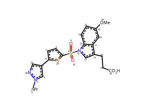 CCCn1cc(-c2ccc(S(=O)(=O)n3cc(CCC(=O)O)c4cc(OC)ccc43)s2)cn1